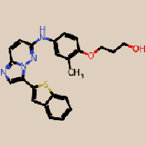 Cc1cc(Nc2ccc3ncc(-c4cc5ccccc5s4)n3n2)ccc1OCCCO